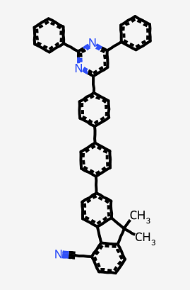 CC1(C)c2cc(-c3ccc(-c4ccc(-c5cc(-c6ccccc6)nc(-c6ccccc6)n5)cc4)cc3)ccc2-c2c(C#N)cccc21